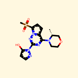 C[C@@H]1COCCN1c1nc(-n2nccc2O)nn2c(S(C)(=O)=O)ccc12